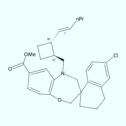 CCC/C=C/[C@H]1CC[C@@H]1CN1CC2(CCCc3cc(Cl)ccc32)COc2ccc(C(=O)OC)cc21